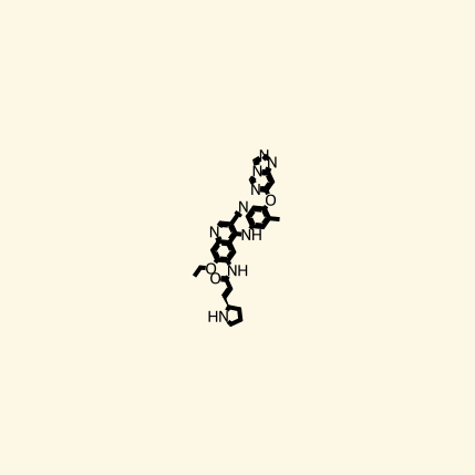 CCOc1cc2ncc(C#N)c(Nc3ccc(Oc4cc5nncn5cn4)c(C)c3)c2cc1NC(=O)/C=C/[C@H]1CCCN1